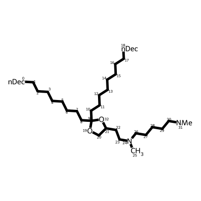 CCCCCCCCCCCCCCCCCCC1(CCCCCCCCCCCCCCCCCC)OCC(CCN(C)CCCCCNC)O1